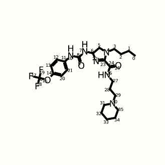 CCCCN1CC(NC(=O)Nc2ccc(OC(F)(F)F)cc2)N=C1C(=O)NCCCN1CCCCC1